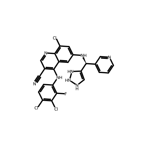 N#Cc1cnc2c(Cl)cc(N[C@H](C3=CNNN3)c3cccnc3)cc2c1Nc1ccc(Cl)c(Cl)c1F